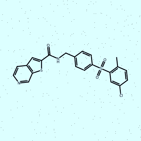 Cc1ccc(Cl)cc1S(=O)(=O)c1ccc(CNC(=O)c2cc3ccncc3s2)cc1